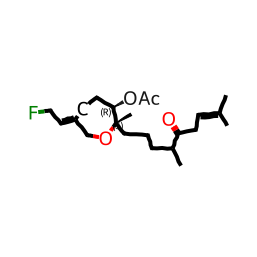 CC(=O)O[C@@H]1CCC(=CCF)CO[C@@]1(C)CCCC(C)C(=O)CC=C(C)C